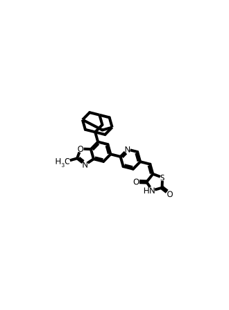 Cc1nc2cc(-c3ccc(C=C4SC(=O)NC4=O)cn3)cc(C34CC5CC(CC(C5)C3)C4)c2o1